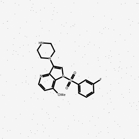 COc1ccnc2c(N3CCNCC3)cn(S(=O)(=O)c3cccc(F)c3)c12